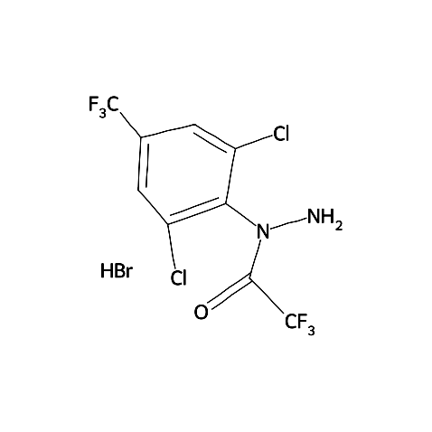 Br.NN(C(=O)C(F)(F)F)c1c(Cl)cc(C(F)(F)F)cc1Cl